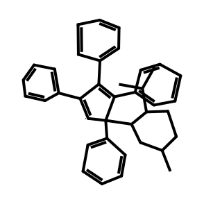 CC1CCC(C(C)C)C(C2(c3ccccc3)[C]=C(c3ccccc3)C(c3ccccc3)=C2c2ccccc2)C1